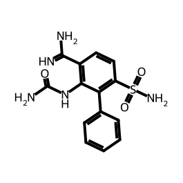 N=C(N)c1ccc(S(N)(=O)=O)c(-c2ccccc2)c1NC(N)=O